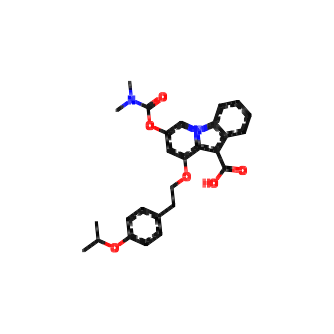 CC(C)Oc1ccc(CCOc2cc(OC(=O)N(C)C)cn3c2c(C(=O)O)c2ccccc23)cc1